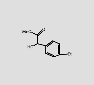 CCc1ccc(C(O)C(=O)OC)cc1